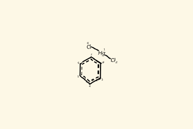 [Cl][Hg][Cl].c1ccccc1